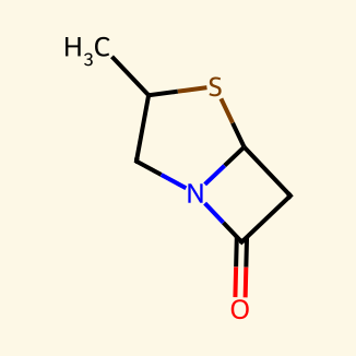 CC1CN2C(=O)CC2S1